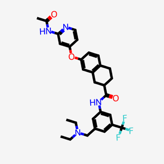 CCN(CC)Cc1cc(NC(=O)C2CCc3ccc(Oc4ccnc(NC(C)=O)c4)cc3C2)cc(C(F)(F)F)c1